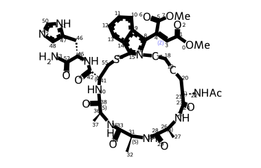 COC(=O)/C=C(\C(=O)OC)c1c2ccccc2c2n1CCCC[C@H](NC(C)=O)C(=O)N[C@@H](C)C(=O)N[C@@H](C)C(=O)N[C@@H](C)C(=O)N[C@H](C(=O)N[C@@H](Cc1cnc[nH]1)C(N)=O)CS2